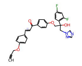 C#CCOc1ccc(/C=C/C(=O)c2ccc(OCC(O)(Cn3cncn3)c3ccc(F)cc3F)cc2)cc1